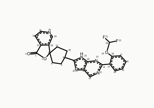 O=C1OC2(CCC(c3nc4cnc(-c5ccccc5OC(F)F)nc4[nH]3)CC2)c2cnccc21